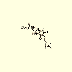 CC(CCCCn1c(=O)c2[nH]c(CNC(=O)OC(C)(C)C)nc2n(C)c1=O)N(C)C